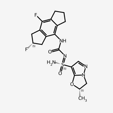 C[C@H]1Cn2ncc([S@@](N)(=O)=NC(=O)Nc3c4c(c(F)c5c3C[C@H](F)C5)CCC4)c2O1